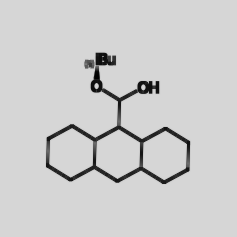 CC[C@H](C)OC(O)C1C2CCCCC2CC2CCCCC21